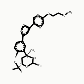 COCCOc1cnc(-c2cc(-c3ccc(F)c([C@]4(C)C[C@@H](C(F)(F)F)OC(N)N4)c3)on2)cn1